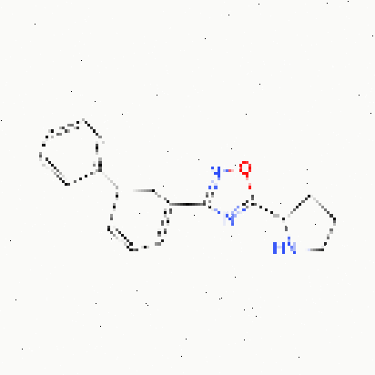 c1ccc(-c2cccc(-c3noc(C4CCCN4)n3)c2)cc1